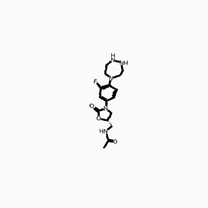 CC(=O)NC[C@H]1CN(c2ccc(N3CCNNCC3)c(F)c2)C(=O)O1